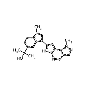 Cn1cc(-c2cc3c(ncc4cnn(C)c43)[nH]2)c2cc(C(C)(C)O)ccc21